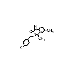 C=C1c2cc(C)ccc2NC(=O)N1CCc1ccc(Cl)cc1